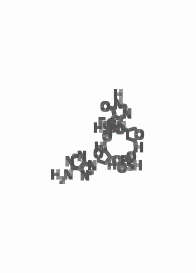 Nc1ncnc2c1ncn2[C@H]1C[C@@H]2OP(=O)(S)OC[C@@H]3C[C@@](n4cc(F)c5c(=O)[nH]cnc54)(CO3)OP(=O)(S)OC[C@H]2O1